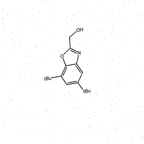 CC(C)(C)c1cc(C(C)(C)C)c2oc(CO)nc2c1